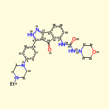 CCN1CCN(c2ccc(-c3[nH]nc4c3C(=O)c3c(NC(=O)NN5CCOCC5)cccc3-4)cc2)CC1